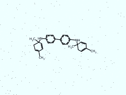 CC1=CCC(C)(Nc2ccc(-c3ccc(NC4(C)C=CC(C)=CC4)cc3)cc2)C=C1